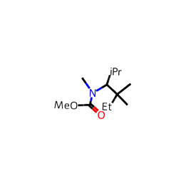 CCC(C)(C)C(C(C)C)N(C)C(=O)OC